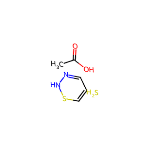 C1=CSNN=C1.CC(=O)O.S